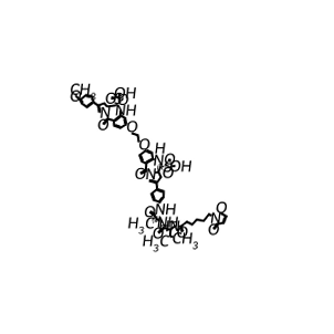 COc1ccc(C2=CN3C(=O)c4ccc(OCCCOc5ccc6c(c5)N[C@H](S(=O)(=O)O)C5CC(c7ccc(NC(=O)[C@H](C)NC(=O)C(NC(=O)CCCCCN8C(=O)C=CC8=O)C(C)C)cc7)=CN5C6=O)cc4NC(S(=O)(=O)O)C3C2)cc1